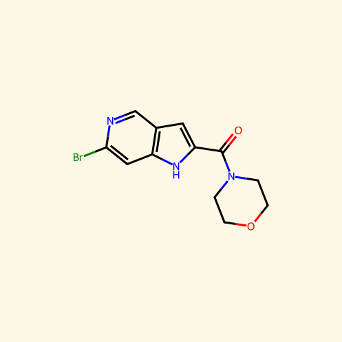 O=C(c1cc2cnc(Br)cc2[nH]1)N1CCOCC1